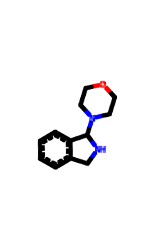 c1ccc2c(c1)CNC2N1CCOCC1